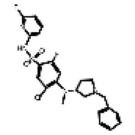 CN(c1cc(F)c(S(=O)(=O)Nc2cccc(F)n2)cc1Cl)[C@H]1CCN(Cc2ccccc2)C1